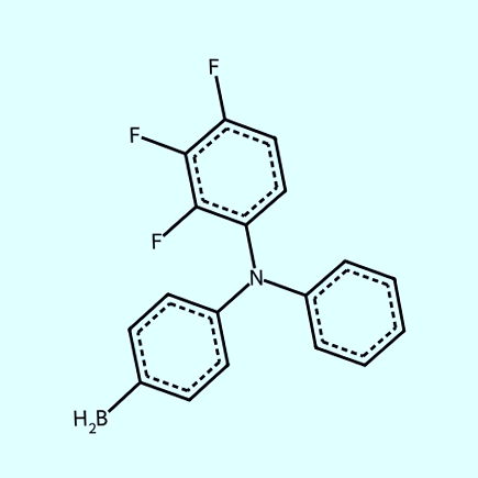 Bc1ccc(N(c2ccccc2)c2ccc(F)c(F)c2F)cc1